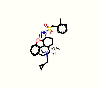 CC(=O)O[C@@]12CC[C@@H](NS(=O)(=O)Cc3ccccc3C)[C@@H]3Oc4cccc5c4[C@@]31CCN(CC1CC1)[C@@H]2C5